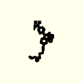 C=CCN(C)CCCC#Cc1ccc2c(c1)S(=O)(=O)C(C)=C2c1ccc(C(F)(F)F)cc1